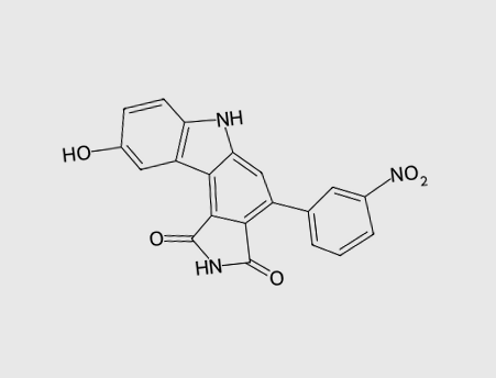 O=C1NC(=O)c2c1c(-c1cccc([N+](=O)[O-])c1)cc1[nH]c3ccc(O)cc3c21